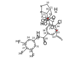 C=CCOC[C@]1(O)CC2CC[C@@H](C1)C2S(=O)(=O)c1cc(C(=O)Nc2cc(F)c(F)c(F)c2)ccc1Cl